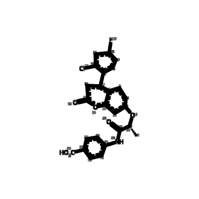 C[C@@H](Oc1ccc2c(-c3ccc(F)cc3Cl)cc(=O)oc2c1)C(=O)Nc1ccc(C(=O)O)cc1